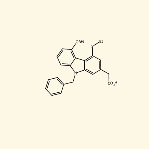 CCSc1cc(CC(=O)O)cc2c1c1c(OC)cccc1n2Cc1ccccc1